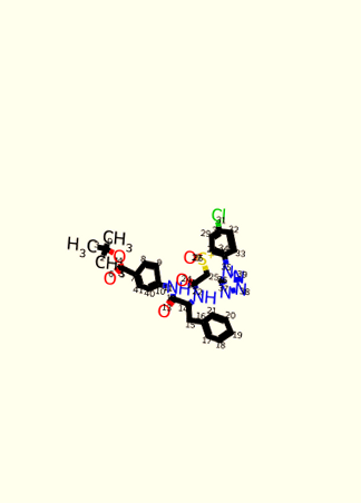 CC(C)(C)OC(=O)c1ccc(NC(=O)C(Cc2ccccc2)NC(=O)C[S+]([O-])c2cc(Cl)ccc2-n2cnnn2)cc1